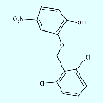 O=[N+]([O-])c1ccc(O)c(OCc2c(Cl)cccc2Cl)c1